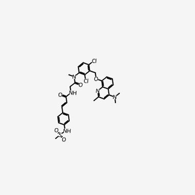 Cc1cc(N(C)C)c2cccc(OCc3c(Cl)ccc(N(C)C(=O)CNC(=O)/C=C/c4ccc(NS(C)(=O)=O)cc4)c3Cl)c2n1